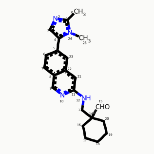 Cc1ncc(-c2ccc3cnc(NCC4(C=O)CCCCC4)cc3c2)n1C